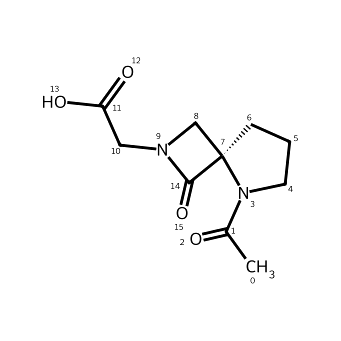 CC(=O)N1CCC[C@]12CN(CC(=O)O)C2=O